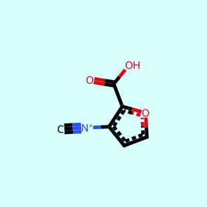 [C-]#[N+]c1ccoc1C(=O)O